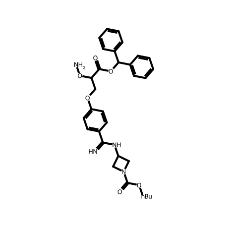 CCCCOC(=O)N1CC(NC(=N)c2ccc(OCC(ON)C(=O)OC(c3ccccc3)c3ccccc3)cc2)C1